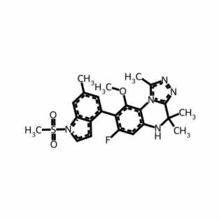 COc1c(-c2cc(C)cc3c2ccn3S(C)(=O)=O)c(F)cc2c1-n1c(C)nnc1C(C)(C)N2